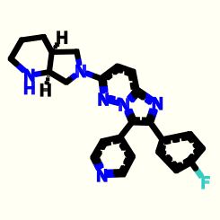 Fc1ccc(-c2nc3ccc(N4C[C@@H]5CCCN[C@@H]5C4)nn3c2-c2ccncc2)cc1